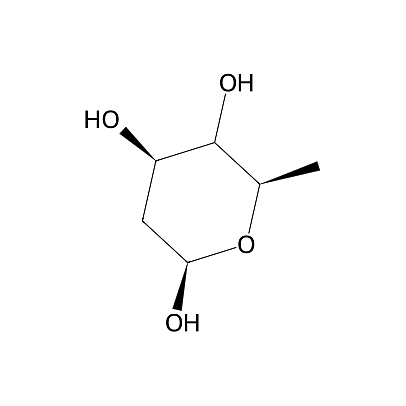 C[C@H]1O[C@@H](O)C[C@@H](O)C1O